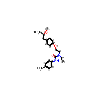 CCOC(Cc1ccc(OCCN(CC(C)C)C(=O)Nc2ccc([N+](=O)[O-])cc2)cc1)C(=O)O